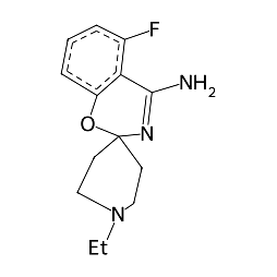 CCN1CCC2(CC1)N=C(N)c1c(F)cccc1O2